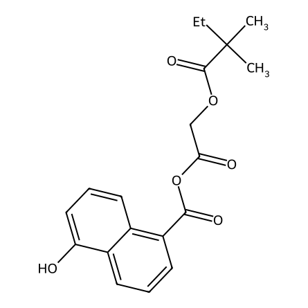 CCC(C)(C)C(=O)OCC(=O)OC(=O)c1cccc2c(O)cccc12